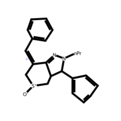 CCCN1N=C2/C(=C\c3ccccc3)C[S+]([O-])CC2C1c1ccccc1